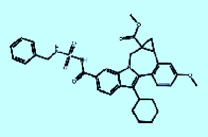 COC(=O)C12CC1c1cc(OC)ccc1-c1c(C3CCCCC3)c3ccc(C(=O)NS(=O)(=O)NCc4ccccc4)cc3n1C2